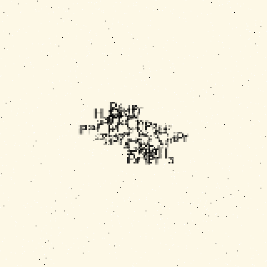 CC(C)c1cc(C(C)C)c(-c2cc3c4ccc5c6c(c(-c7c(C(C)C)cc(C(C)C)cc7C(C)C)cc(c7ccc8c(c2C(C)[Si]8(C(C)C)C(C)C)c73)c64)C(C)[Si]5(C(C)C)C(C)C)c(C(C)C)c1